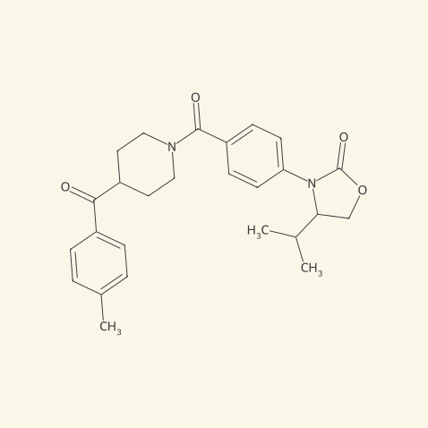 Cc1ccc(C(=O)C2CCN(C(=O)c3ccc(N4C(=O)OCC4C(C)C)cc3)CC2)cc1